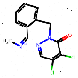 C/N=C\c1ccccc1Cn1ncc(Cl)c(Cl)c1=O